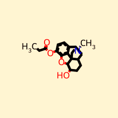 CCC(=O)Oc1ccc2c3c1OC1C(O)CCC4C(C2)N(C)CCC341